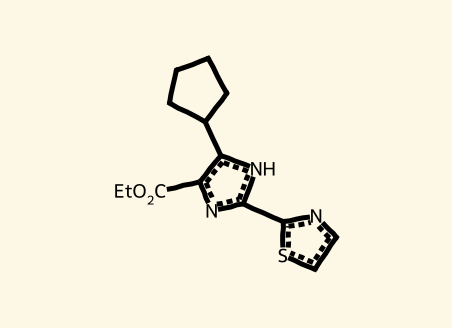 CCOC(=O)c1nc(-c2nccs2)[nH]c1C1CCCC1